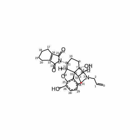 C=CCN1CC2[C@@H]1[C@]1(O)CC[C@@H](N3C(=O)C4=C(CCCC4)C3=O)[C@@H]3Oc4c(O)ccc(C)c4[C@@]231